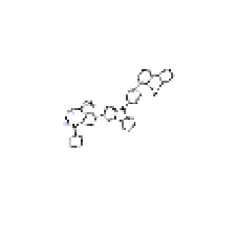 C=C1/C=C\C=C/N(c2ccccc2)c2ccc(-c3ccc4c(c3)c3ccccc3n4-c3ccc(-c4cccc5c4C4CC4c4ccccc4-5)cc3)cc21